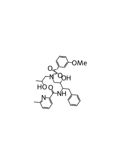 COc1cccc(S(=O)(=O)N(CC(C)O)CC(O)C(Cc2ccccc2)NC(=O)c2cccc(C)n2)c1